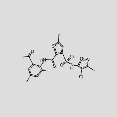 CC(=O)c1cc(C)cc(C)c1NC(=O)c1sc(C)cc1S(=O)(=O)Nc1onc(C)c1Cl